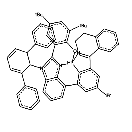 CC(C)c1cc2c3c(c1)-c1cccc4c1[n+]1c(n4C4C(c5ccccc5)=CC=CC4c4ccccc4)-c4cc(C(C)(C)C)cc(C(C)(C)C)c4O[PH]31[N+]1=C2c2ccccc2CC1